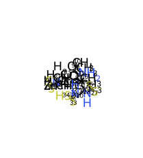 CC(C)(C)c1cc(C(C)(C)C)c(N)c(C(C)(C)C)c1.CN(C)C(=S)[S-].S=C([S-])NCCNC(=S)S.[Zn+2]